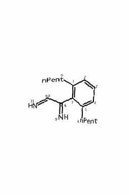 CCCCCc1cccc(CCCCC)c1C(=N)C=N